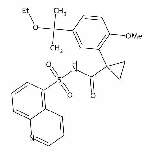 CCOC(C)(C)c1ccc(OC)c(C2(C(=O)NS(=O)(=O)c3cccc4ncccc34)CC2)c1